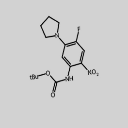 CC(C)(C)OC(=O)Nc1cc(N2CCCC2)c(F)cc1[N+](=O)[O-]